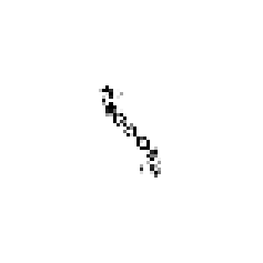 C=C(C)C(=O)OCOc1ccc(-c2ccc(-c3ccc(OCOC(=O)C(=C)C)cc3)cc2)cc1